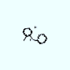 Cc1ccccc1Pc1ccccc1.I